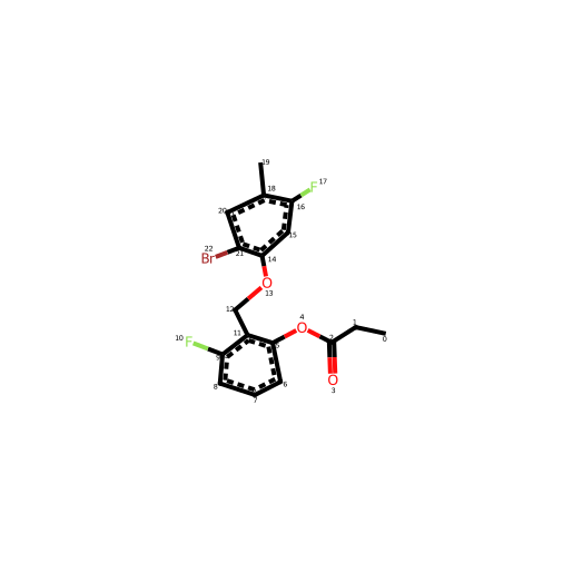 CCC(=O)Oc1cccc(F)c1COc1cc(F)c(C)cc1Br